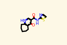 O=C(Nc1nccs1)c1c[nH]c2c(c1=O)CCCCC2